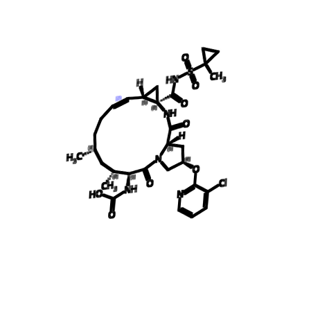 C[C@@H]1CC/C=C\[C@@H]2C[C@@]2(C(=O)NS(=O)(=O)C2(C)CC2)NC(=O)[C@@H]2C[C@@H](Oc3ncccc3Cl)CN2C(=O)[C@@H](NC(=O)O)[C@H](C)C1